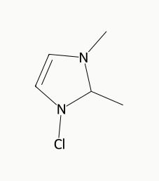 CC1N(C)C=CN1Cl